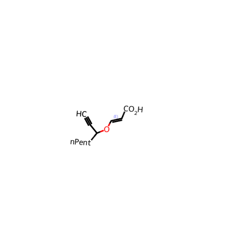 C#CC(CCCCC)O/C=C/C(=O)O